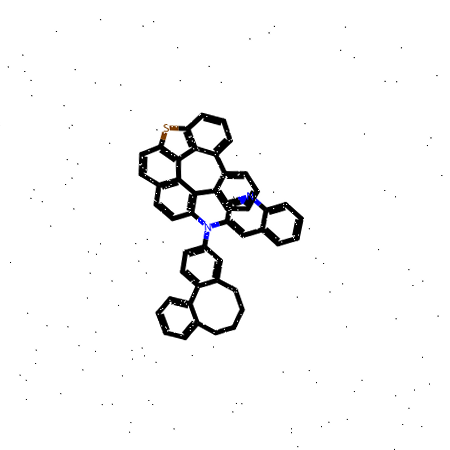 c1ccc2c(c1)CCCCc1cc(N(c3cnc4ccccc4c3)c3ccc4ccc5sc6cccc7c6c5c4c3-c3ccccc3-7)ccc1-2